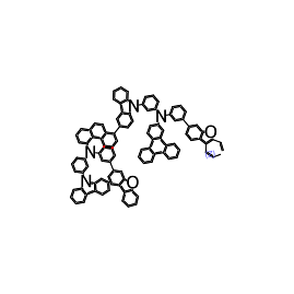 C=Cc1oc2cc(-c3cccc(N(c4cccc(-n5c6ccccc6c6cc(-c7cccc8c7ccc7cccc(N(c9cccc(-c%10ccc%11c(c%10)oc%10ccccc%10%11)c9)c9cccc(-n%10c%11ccccc%11c%11ccccc%11%10)c9)c78)ccc65)c4)c4ccc5c6ccccc6c6ccccc6c5c4)c3)ccc2c1/C=C\C